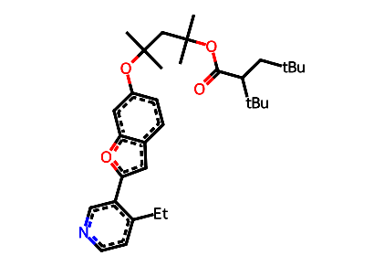 CCc1ccncc1-c1cc2ccc(OC(C)(C)CC(C)(C)OC(=O)C(CC(C)(C)C)C(C)(C)C)cc2o1